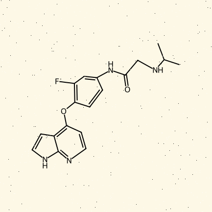 CC(C)NCC(=O)Nc1ccc(Oc2ccnc3[nH]ccc23)c(F)c1